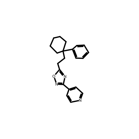 c1ccc(C2(CCc3nc(-c4ccncc4)no3)CCCCC2)cc1